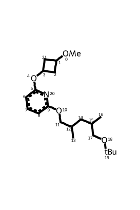 COC1CC(Oc2cccc(OCC(C)CC(C)COC(C)(C)C)n2)C1